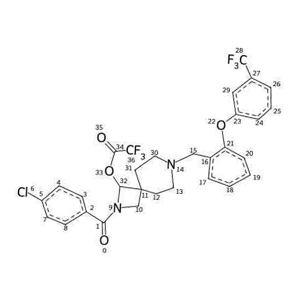 O=C(c1ccc(Cl)cc1)N1CC2(CCN(Cc3ccccc3Oc3cccc(C(F)(F)F)c3)CC2)C1OC(=O)C(F)(F)F